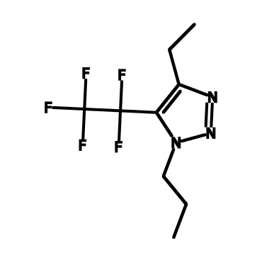 CCCn1nnc(CC)c1C(F)(F)C(F)(F)F